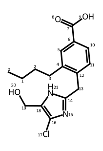 CCCCc1cc(C(=O)O)ccc1Cc1nc(Cl)c(CO)[nH]1